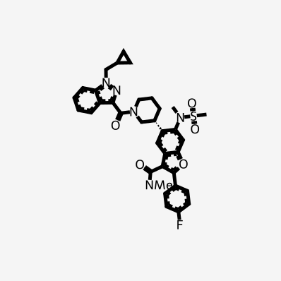 CNC(=O)c1c(-c2ccc(F)cc2)oc2cc(N(C)S(C)(=O)=O)c([C@H]3CCCN(C(=O)c4nn(CC5CC5)c5ccccc45)C3)cc12